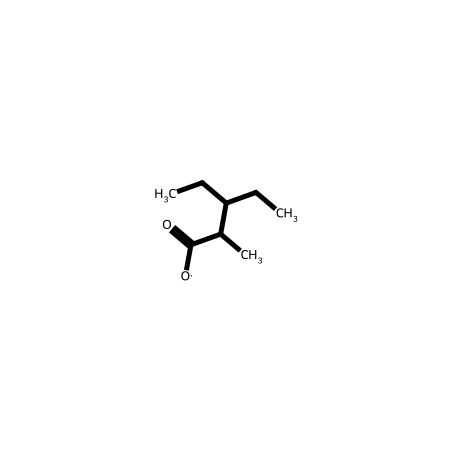 CCC(CC)C(C)C([O])=O